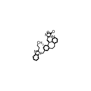 CCCc1nc2ccccc2n1Cc1ccc2c(c1)CCc1ccccc1C2=Cc1noc(=O)[nH]1